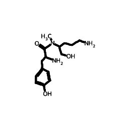 CN(C(=O)C(N)Cc1ccc(O)cc1)C(CO)CCCN